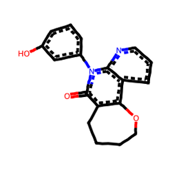 O=c1c2c(c3cccnc3n1-c1cccc(O)c1)OCCCC2